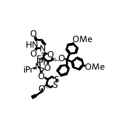 C#CCO[C@@H]1CSSCC1OP(OC1[C@@H](F)[C@H](n2ccc(=O)[nH]c2=O)O[C@@H]1COC(c1ccccc1)(c1ccc(OC)cc1)c1ccc(OC)cc1)N(C(C)C)C(C)C